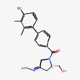 CO/N=C1/C[C@@H](CO)N(C(=O)c2ccc(-c3ccc(C#N)c(C)c3C)cc2)C1